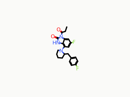 CCC(=O)n1c(=O)[nH]c2c(N3CCCCC3Cc3ccc(F)cc3)cc(F)cc21